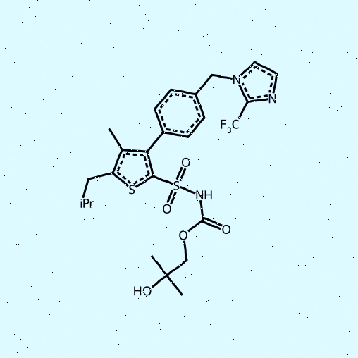 Cc1c(CC(C)C)sc(S(=O)(=O)NC(=O)OCC(C)(C)O)c1-c1ccc(Cn2ccnc2C(F)(F)F)cc1